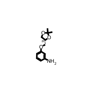 CC1(C)OC[C@@H](COc2cccc(N)c2)O1